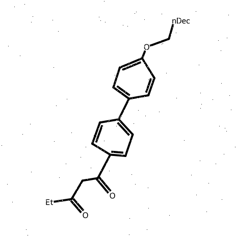 CCCCCCCCCCCOc1ccc(-c2ccc(C(=O)CC(=O)CC)cc2)cc1